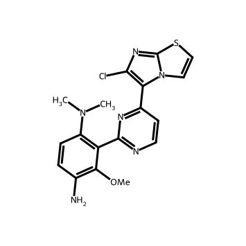 COc1c(N)ccc(N(C)C)c1-c1nccc(-c2c(Cl)nc3sccn23)n1